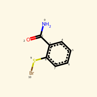 NC(=O)c1ccccc1SBr